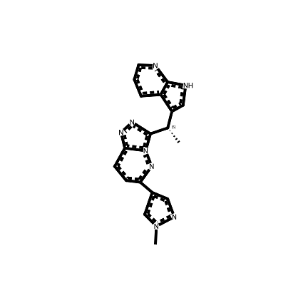 C[C@@H](c1c[nH]c2ncccc12)c1nnc2ccc(-c3cnn(C)c3)nn12